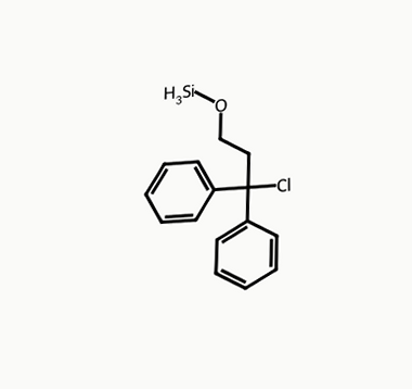 [SiH3]OCCC(Cl)(c1ccccc1)c1ccccc1